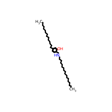 CCCCCCCCCCCCCCCCCCNCc1ccc(CCCCCCCCCCCCCCC)cc1O